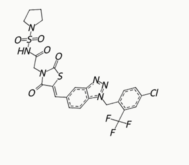 O=C(CN1C(=O)SC(=Cc2ccc3c(c2)nnn3Cc2ccc(Cl)cc2C(F)(F)F)C1=O)NS(=O)(=O)N1CCCC1